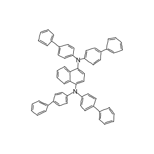 c1ccc(-c2ccc(N(c3ccc(-c4ccccc4)cc3)c3ccc(N(c4ccc(-c5ccccc5)cc4)c4ccc(-c5ccccc5)cc4)c4ccccc34)cc2)cc1